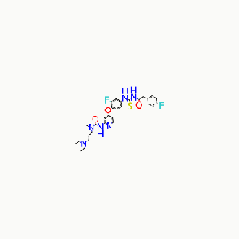 CCN(CC)CCCN(C)C(=O)Nc1cc(Oc2ccc(NC(=S)NC(=O)Cc3ccc(F)cc3)cc2F)ccn1